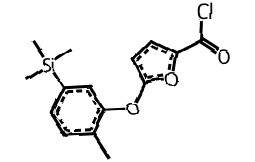 Cc1ccc([Si](C)(C)C)cc1Oc1ccc(C(=O)Cl)o1